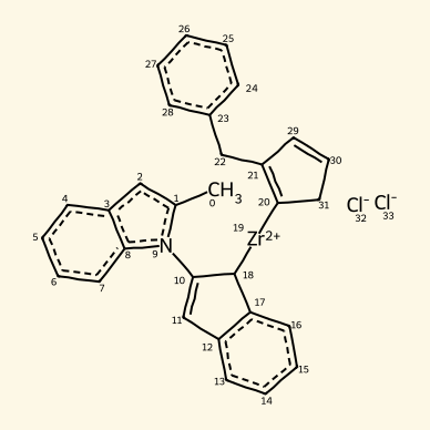 Cc1cc2ccccc2n1C1=Cc2ccccc2[CH]1[Zr+2][C]1=C(Cc2ccccc2)C=CC1.[Cl-].[Cl-]